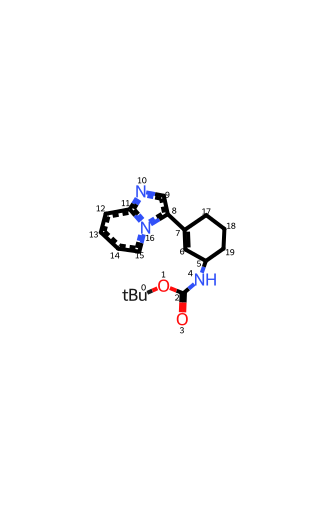 CC(C)(C)OC(=O)NC1C=C(c2cnc3ccccn23)CCC1